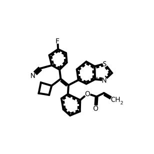 C=CC(=O)Oc1ccccc1/C(=C(/c1ccc(F)cc1C#N)C1CCC1)c1ccc2scnc2c1